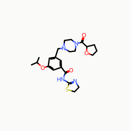 CC(C)Oc1cc(CN2CCN(C(=O)C3CCCO3)CC2)cc(C(=O)NC2=NCCS2)c1